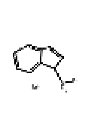 CC[SiH2]C1C=Cc2ccccc21.[LiH]